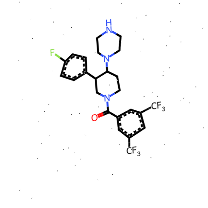 O=C(c1cc(C(F)(F)F)cc(C(F)(F)F)c1)N1CCC(N2CCNCC2)C(c2ccc(F)cc2)C1